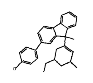 CCC1CC(C2(C)c3ccccc3-c3ccc(-c4ccc(Cl)cc4)cc32)=CC(C)C1